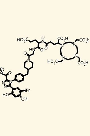 CCNC(=O)c1nnc(-c2cc(C(C)C)c(O)cc2O)n1-c1ccc(CC2CCN(C(=O)CNC(=O)C(CCC(=O)O)NC(=O)CCC(C(=O)O)N3CCN(CC(=O)O)CCN(CC(=O)O)CCN(CC(=O)O)CC3)CC2)cc1